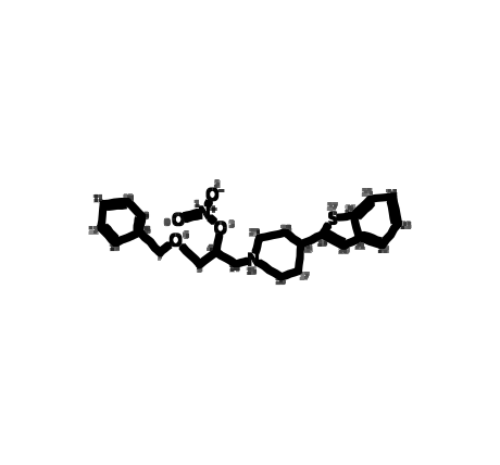 O=[N+]([O-])OC(COCc1ccccc1)CN1CCC(c2cc3ccccc3s2)CC1